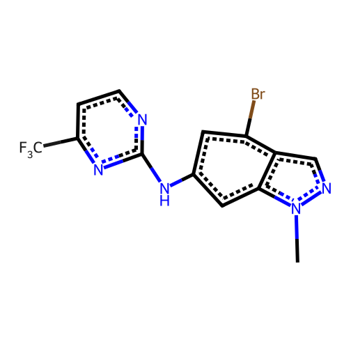 Cn1ncc2c(Br)cc(Nc3nccc(C(F)(F)F)n3)cc21